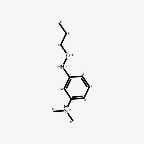 CCCONc1cccc([SiH](C)C)c1